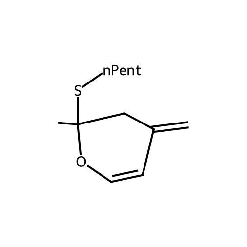 C=C1C=COC(C)(SCCCCC)C1